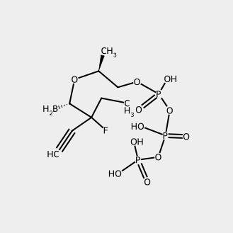 B[C@H](O[C@@H](C)COP(=O)(O)OP(=O)(O)OP(=O)(O)O)C(F)(C#C)CC